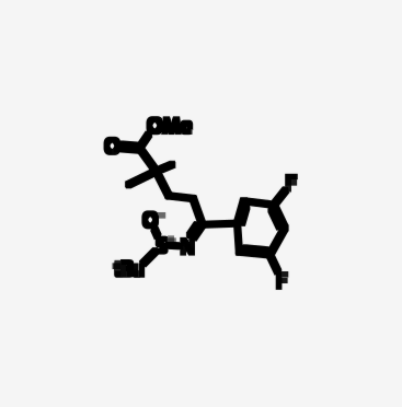 COC(=O)C(C)(C)CCC(=N[S+]([O-])C(C)(C)C)c1cc(F)cc(F)c1